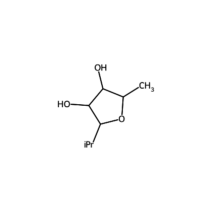 CC(C)C1OC(C)C(O)C1O